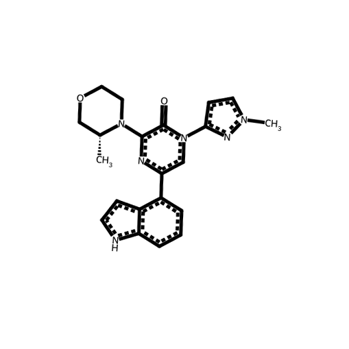 C[C@@H]1COCCN1c1nc(-c2cccc3[nH]ccc23)cn(-c2ccn(C)n2)c1=O